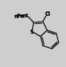 CCCCCc1sc2ccccc2c1Cl